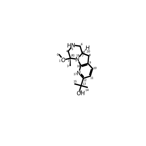 CO[C@]1(C)CNC[C@H]2Cc3ccc(C(C)(C)O)nc3N21